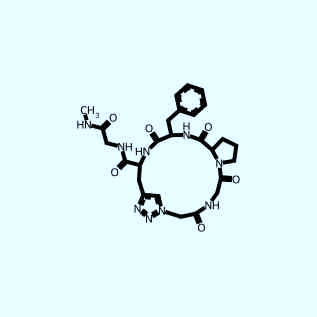 CNC(=O)CNC(=O)C1Cc2cn(nn2)CC(=O)NCC(=O)N2CCCC2C(=O)NC(Cc2ccccc2)C(=O)N1